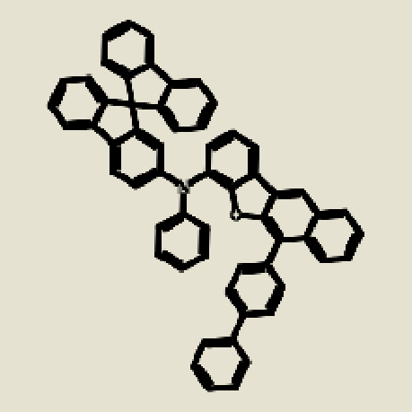 c1ccc(-c2ccc(-c3c4ccccc4cc4c3oc3c(N(c5ccccc5)c5ccc6c(c5)C5(c7ccccc7-c7ccccc75)c5ccccc5-6)cccc34)cc2)cc1